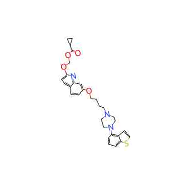 O=C(OCOc1ccc2ccc(OCCCCN3CCN(c4cccc5sccc45)CC3)cc2n1)C1CC1